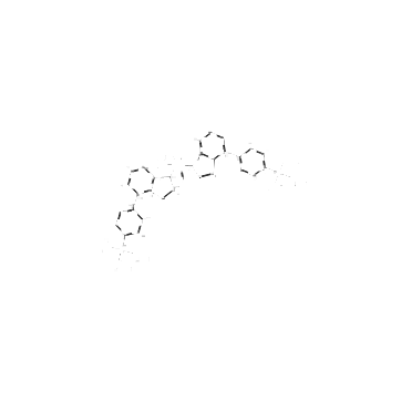 CC[CH]=[Hf]([CH3])([CH3])([CH3])([CH]1C=Cc2c(-c3ccc([Si](C)(C)C)cc3)cccc21)[CH]1C=Cc2c(-c3ccc([Si](C)(C)C)cc3)cccc21